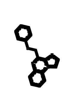 c1ccc(OCc2nc3ccccc3n3ccnc23)cc1